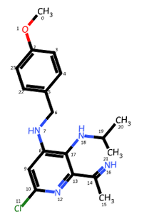 COc1ccc(CNc2cc(Cl)nc(C(C)=N)c2NC(C)C)cc1